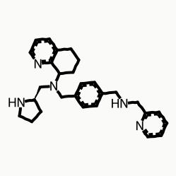 c1ccc(CNCc2ccc(CN(C[C@H]3CCCN3)C3CCCc4cccnc43)cc2)nc1